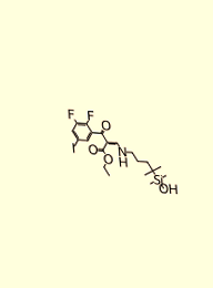 CCOC(=O)C(=CNCCCC(C)(C)[Si](C)(C)O)C(=O)c1cc(I)cc(F)c1F